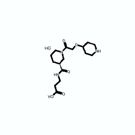 Cl.O=C(O)CCNC(=O)[C@H]1CCCN(C(=O)COC2CCNCC2)C1